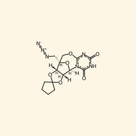 [N-]=[N+]=NC[C@]12COc3nc(=O)[nH]c(=O)n3[C@H](O1)[C@@H]1OC3(CCCC3)O[C@@H]12